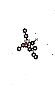 N#Cc1ccc(-n2c3ccccc3c3ccc4c(c5ccccc5n4-c4ccc5ccccc5c4)c32)c(-c2nc(-c3ccc(-c4ccccc4)cc3)nc(-c3ccc(-c4ccccc4)cc3)n2)c1